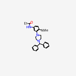 CCC(=O)Nc1ccc(NC)c(N2CCN(C(c3ccccc3)c3ccccc3)CC2)c1